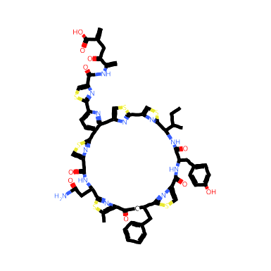 C=C(CC(=O)C(=C)NC(=O)c1csc(-c2ccc3c(n2)-c2csc(n2)-c2csc(n2)C(C(C)CC)NC(=O)C(Cc2ccc(O)cc2)NC(=O)c2csc(n2)C(Cc2ccccc2)CC(=O)c2nc(sc2C)C(CC(N)=O)NC(=O)c2csc-3n2)n1)C(=O)O